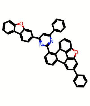 c1ccc(-c2cc3oc4cccc5c6c(-c7nc(-c8ccccc8)cc(-c8ccc9c(c8)oc8ccccc89)n7)cccc6c(c2)c3c45)cc1